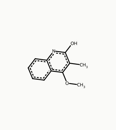 COc1c(C)c(O)nc2ccccc12